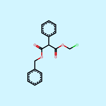 O=C(OCCl)C(C(=O)OCc1ccccc1)c1ccccc1